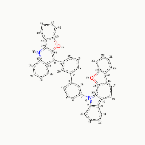 c1cc(-c2cccc(-n3c4ccccc4c4ccc5c6ccccc6oc5c43)c2)cc(-c2c3ccccc3nc3c2oc2ccccc23)c1